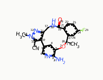 C[C@H]1Oc2cc(cnc2N)-c2c(nn(C)c2C#N)CNC(=O)c2ccc(F)cc21